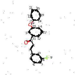 O=C(/C=C/c1cccc(F)c1)c1cccc(Oc2ccccc2)c1